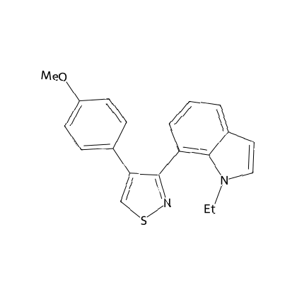 CCn1ccc2cccc(-c3nscc3-c3ccc(OC)cc3)c21